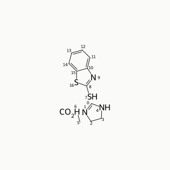 C1=NCCN1.CC(=O)O.Sc1nc2ccccc2s1